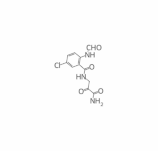 NC(=O)C(=O)CNC(=O)c1cc(Cl)ccc1NC=O